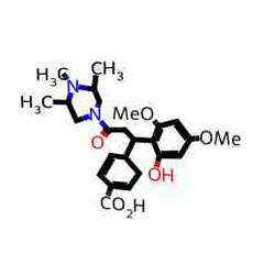 COc1cc(O)c(C(CC(=O)N2CC(C)N(C)C(C)C2)C2C=CC(C(=O)O)=CC2)c(OC)c1